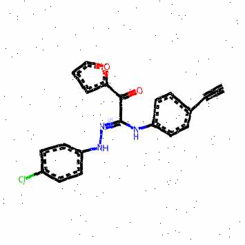 C#Cc1ccc(N/C(=N\Nc2ccc(Cl)cc2)C(=O)c2ccco2)cc1